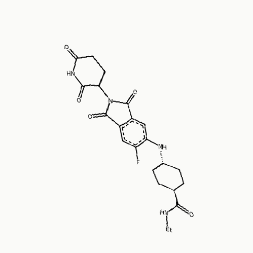 CCNC(=O)[C@H]1CC[C@H](Nc2cc3c(cc2F)C(=O)N(C2CCC(=O)NC2=O)C3=O)CC1